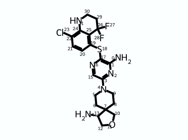 Nc1nc(N2CCC3(CC2)COC[C@H]3N)cnc1Sc1ccc(Cl)c2c1C(F)(F)CCN2